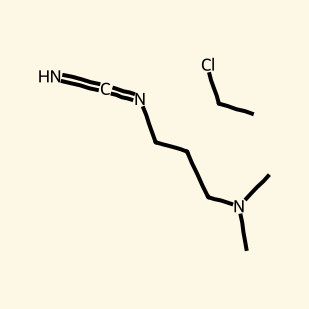 CCCl.CN(C)CCCN=C=N